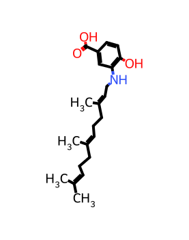 CC(C)=CCC/C(C)=C/CC/C(C)=C/CNc1cc(C(=O)O)ccc1O